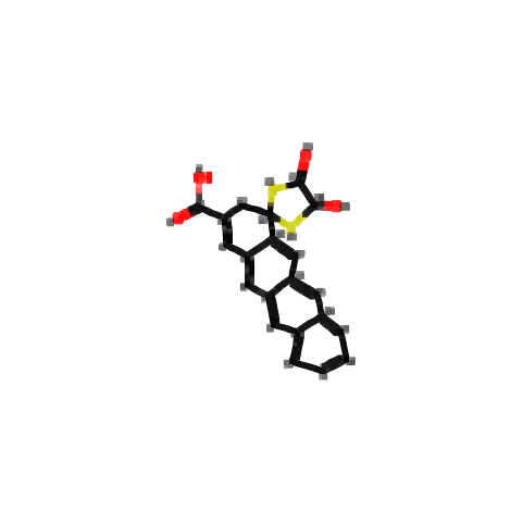 O=C(O)C1=Cc2cc3cc4ccccc4cc3cc2C2(C1)SC(=O)C(=O)S2